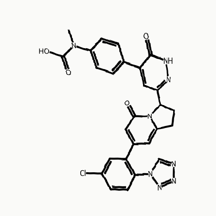 CN(C(=O)O)c1ccc(-c2cc(C3CCc4cc(-c5cc(Cl)ccc5-n5cnnn5)cc(=O)n43)n[nH]c2=O)cc1